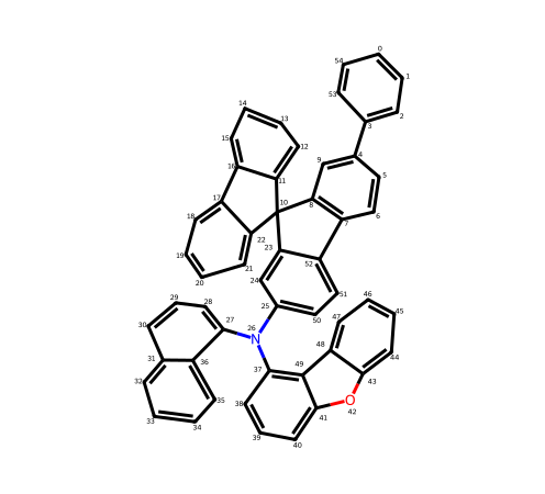 c1ccc(-c2ccc3c(c2)C2(c4ccccc4-c4ccccc42)c2cc(N(c4cccc5ccccc45)c4cccc5oc6ccccc6c45)ccc2-3)cc1